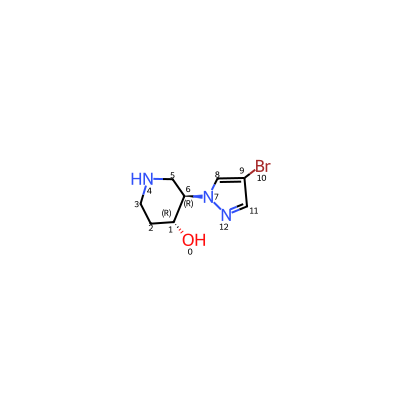 O[C@@H]1CCNC[C@H]1n1cc(Br)cn1